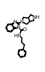 O=C(NCCCc1ccccc1)n1c(N2CC3CNCC3C2)nc2ccccc21